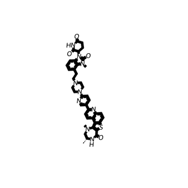 C[C@@H]1CN(C)c2c(sc3ccc4nc(-c5ccc(N6CCN(CCc7cccc8c7n(C)c(=O)n8C7CCC(=O)NC7=O)CC6)nc5)ccc4c23)C(=O)N1